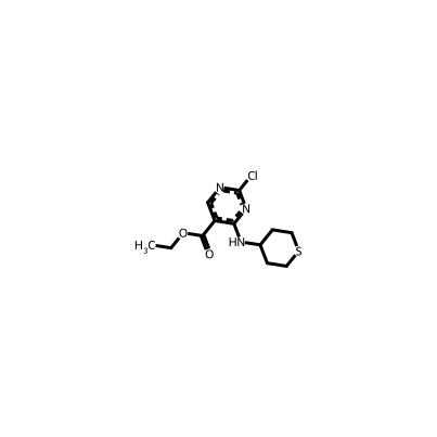 CCOC(=O)c1cnc(Cl)nc1NC1CCSCC1